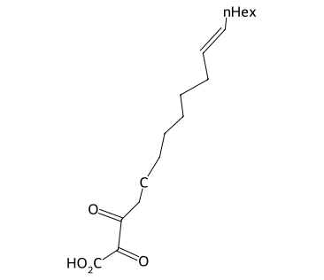 CCCCCCC=CCCCCCCCC(=O)C(=O)C(=O)O